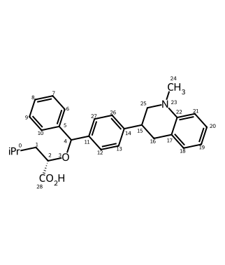 CC(C)C[C@H](OC(c1ccccc1)c1ccc(C2Cc3ccccc3N(C)C2)cc1)C(=O)O